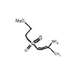 COCCS(=O)(=O)C=C(C)N